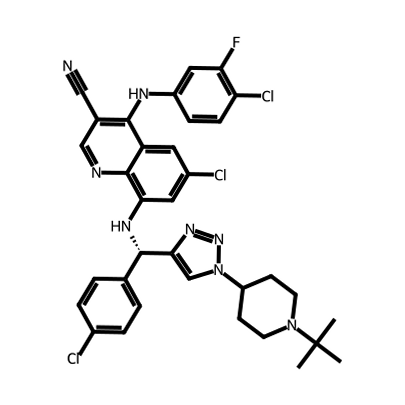 CC(C)(C)N1CCC(n2cc([C@@H](Nc3cc(Cl)cc4c(Nc5ccc(Cl)c(F)c5)c(C#N)cnc34)c3ccc(Cl)cc3)nn2)CC1